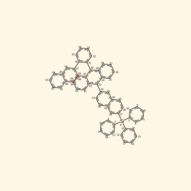 c1ccc([Si](c2ccccc2)(c2ccccc2)c2ccc3cc(-c4c5ccccc5c(-c5ccccc5-c5ccc6ccccc6c5)c5ccccc45)ccc3c2)cc1